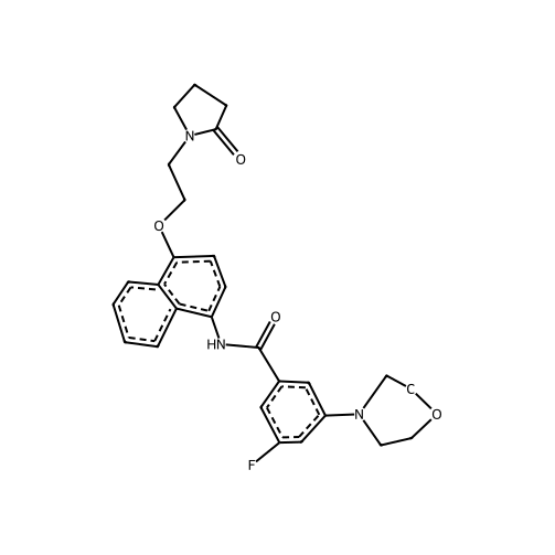 O=C(Nc1ccc(OCCN2CCCC2=O)c2ccccc12)c1cc(F)cc(N2CCOCC2)c1